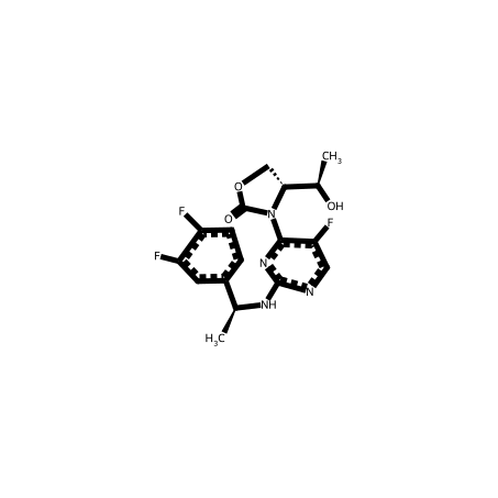 C[C@H](Nc1ncc(F)c(N2C(=O)OC[C@@H]2[C@@H](C)O)n1)c1ccc(F)c(F)c1